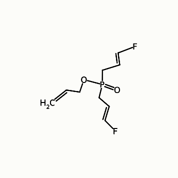 C=CCOP(=O)(CC=CF)CC=CF